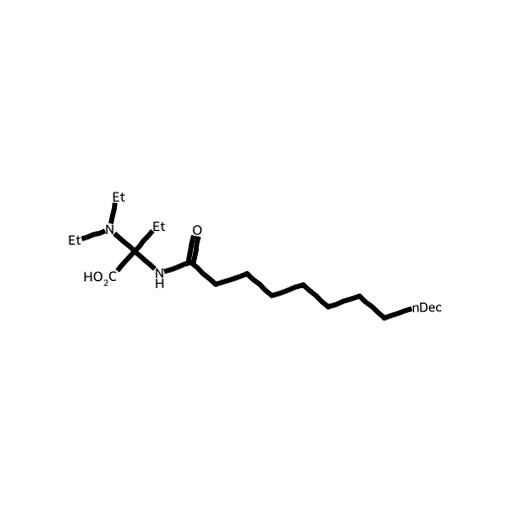 CCCCCCCCCCCCCCCCCC(=O)NC(CC)(C(=O)O)N(CC)CC